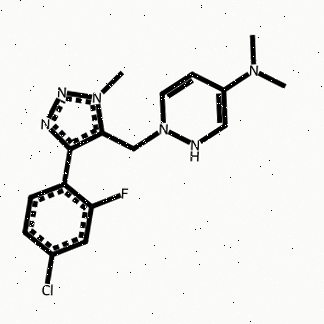 CN(C)C1=CNN(Cc2c(-c3ccc(Cl)cc3F)nnn2C)C=C1